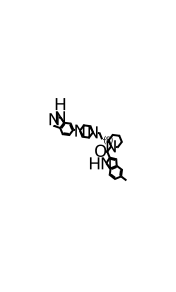 Cc1ccc2[nH]c(C(=O)N3CCCC[C@H]3CCN3CCN(c4ccc5cn[nH]c5c4)CC3)cc2c1